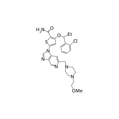 CCC(Oc1cc(-n2cnc3cnc(CN4CCN(CCOC)CC4)cc32)sc1C(N)=O)c1ccccc1Cl